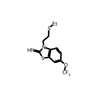 CCSCCn1c(=N)sc2cc(OC(F)(F)F)ccc21